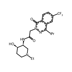 CCN1CC[C@@H](O)[C@@H](NC(=O)Cn2nc(C(C)C)c3cc(C(F)(F)F)ccc3c2=O)C1